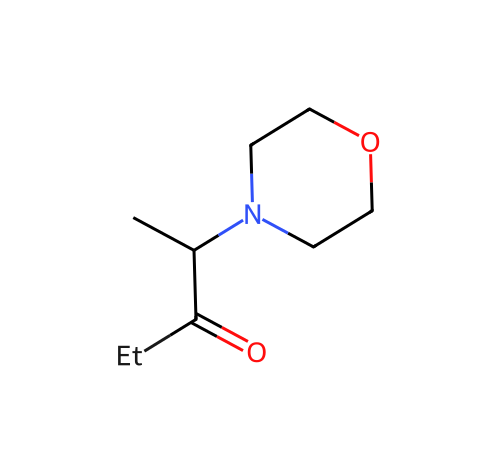 CCC(=O)C(C)N1CCOCC1